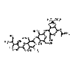 CC(=O)NC(C(O)OC1C(O)C(C)OC(OC2C(O)C(CO)OC(OC3C(CO)OC(OBN)C4O[C@@](C)(C(=O)O)OC34)C2NC(C)=O)C1NC(C)=O)C(O)C(O)C(C)CO